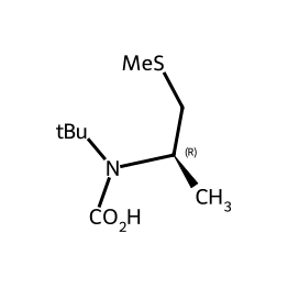 CSC[C@@H](C)N(C(=O)O)C(C)(C)C